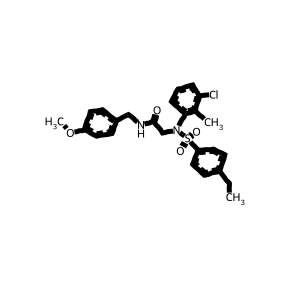 CCc1ccc(S(=O)(=O)N(CC(=O)NCc2ccc(OC)cc2)c2cccc(Cl)c2C)cc1